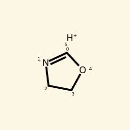 C1=NCCO1.[H+]